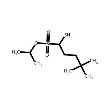 CC(C)OS(=O)(=O)C(S)CCC(C)(C)C